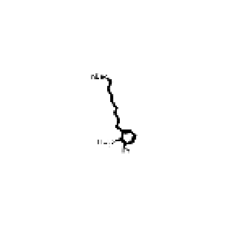 CCCCCCCCCCCCCCCCCCc1cccc(C(C)C)c1S(=O)(=O)O